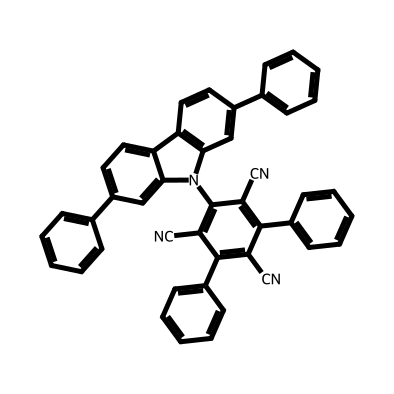 N#Cc1c(-c2ccccc2)c(C#N)c(-n2c3cc(-c4ccccc4)ccc3c3ccc(-c4ccccc4)cc32)c(C#N)c1-c1ccccc1